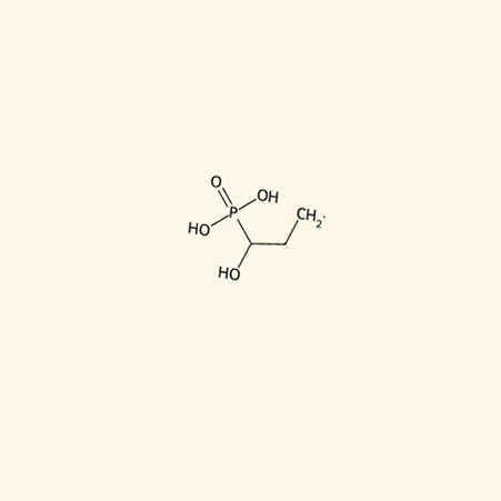 [CH2]CC(O)P(=O)(O)O